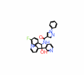 O=C(N[C@H](c1ccc(F)cc1)C(O)(c1cccnc1)c1cccnc1)c1cnn(-c2ccccc2)c1